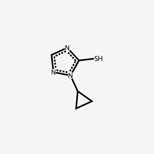 Sc1ncnn1C1CC1